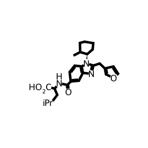 CC(C)CC(NC(=O)c1ccc2c(c1)nc(Cc1ccoc1)n2[C@H]1CCCCC1C)C(=O)O